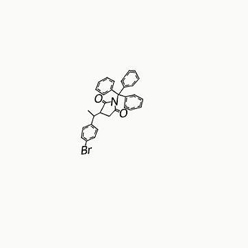 CC(c1ccc(Br)cc1)C1CC(=O)N(C(c2ccccc2)(c2ccccc2)c2ccccc2)C1=O